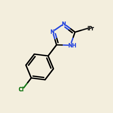 CC(C)c1nnc(-c2ccc(Cl)cc2)[nH]1